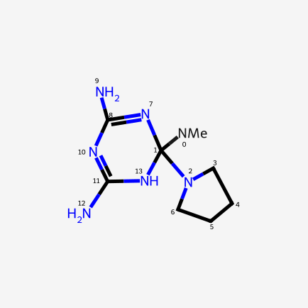 CNC1(N2CCCC2)N=C(N)N=C(N)N1